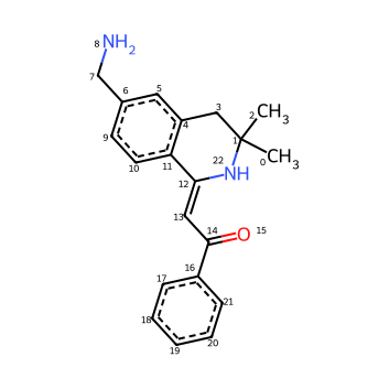 CC1(C)Cc2cc(CN)ccc2/C(=C/C(=O)c2ccccc2)N1